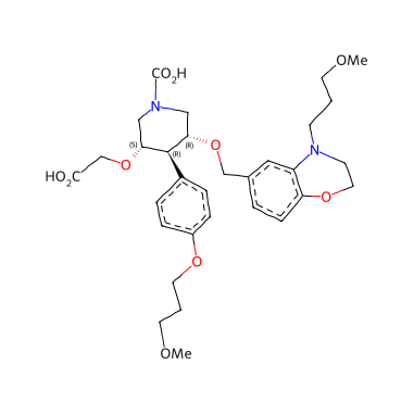 COCCCOc1ccc([C@@H]2[C@@H](OCc3ccc4c(c3)N(CCCOC)CCO4)CN(C(=O)O)C[C@H]2OCC(=O)O)cc1